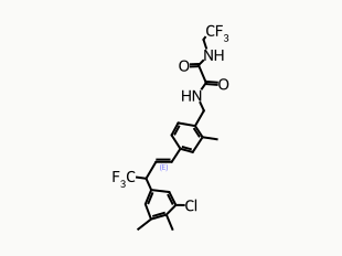 Cc1cc(/C=C/C(c2cc(C)c(C)c(Cl)c2)C(F)(F)F)ccc1CNC(=O)C(=O)NCC(F)(F)F